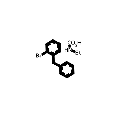 Brc1ccccc1Cc1ccccc1.CCNC(=O)O